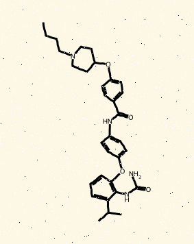 CCCCN1CCC(Oc2ccc(C(=O)Nc3ccc(Oc4cccc(C(C)C)c4NC(N)=O)cc3)cc2)CC1